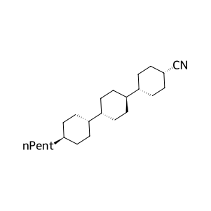 CCCCC[C@H]1CC[C@H]([C@H]2CC[C@H]([C@H]3CC[C@@H](C#N)CC3)CC2)CC1